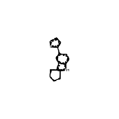 c1csc(-c2ccc3[nH]c4c(c3c2)CCCC4)c1